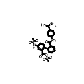 CS(=O)(=O)Nc1ccc(-c2ccccc2C(=O)Nc2ccc(C(=N)N)cc2)c(C(=O)OS(C)(=O)=O)c1